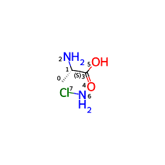 C[C@H](N)C(=O)O.NCl